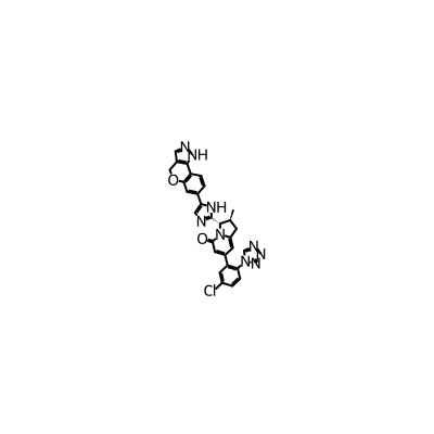 C[C@H]1Cc2cc(-c3cc(Cl)ccc3-n3cnnn3)cc(=O)n2[C@@H]1c1ncc(-c2ccc3c(c2)OCc2cn[nH]c2-3)[nH]1